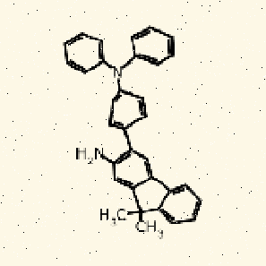 CC1(C)c2ccccc2-c2cc(-c3ccc(N(c4ccccc4)c4ccccc4)cc3)c(N)cc21